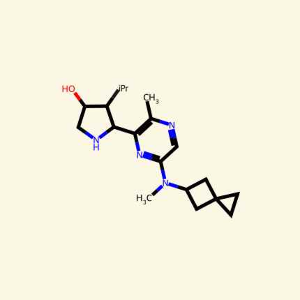 Cc1ncc(N(C)C2CC3(CC3)C2)nc1C1NCC(O)C1C(C)C